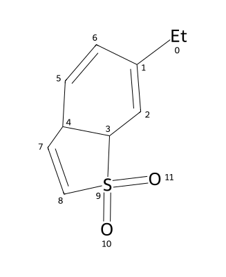 CCC1=CC2C(C=C1)C=CS2(=O)=O